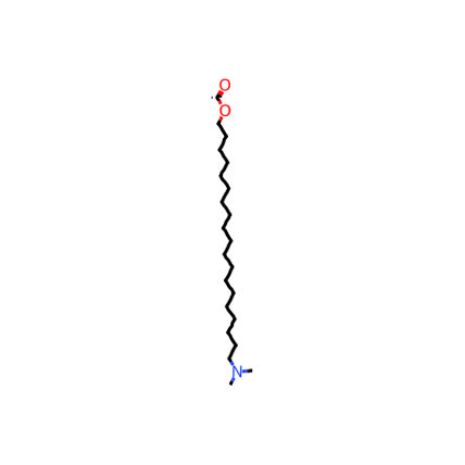 CN(C)CCCCCCCCCCCCCCCCCCCO[C]=O